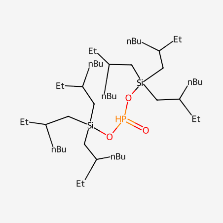 CCCCC(CC)C[Si](CC(CC)CCCC)(CC(CC)CCCC)O[PH](=O)O[Si](CC(CC)CCCC)(CC(CC)CCCC)CC(CC)CCCC